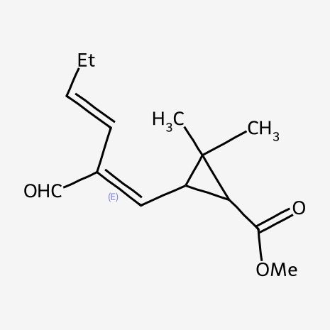 CCC=C/C(C=O)=C\C1C(C(=O)OC)C1(C)C